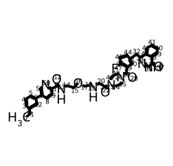 CCc1cccc(-c2ccc(C(=O)NCCOCCNCC(=O)N3CCN(C(=O)c4cc(Cc5n[nH]c(=O)c6ccccc56)ccc4F)CC3)nc2)c1